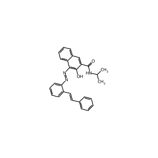 CC(C)NC(=O)c1cc2ccccc2c(/N=N/c2ccccc2/C=C/c2ccccc2)c1O